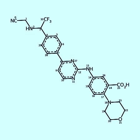 N#CCNC(c1ccc(-c2ccnc(Nc3ccc(N4CCOCC4)c(C(=O)O)c3)n2)cc1)C(F)(F)F